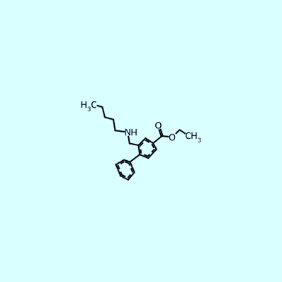 CCCCCNCc1cc(C(=O)OCC)ccc1-c1ccccc1